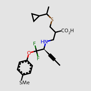 CC#C[C@H](NCC(CSC(C)C1CC1)C(=O)O)C(F)(F)Oc1ccc(SC)cc1